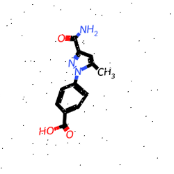 Cc1cc(C(N)=O)nn1-c1ccc(C(=O)O)cc1